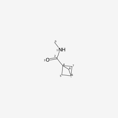 CNC(=O)C12C[C](C1)C2